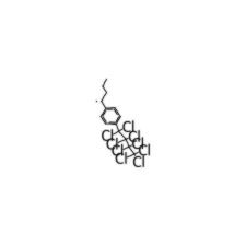 CCC[CH]c1ccc(C(Cl)(Cl)C(Cl)(Cl)C(Cl)(Cl)C(Cl)(Cl)Cl)cc1